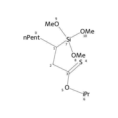 CCCCCC(CC(=S)OC(C)C)[Si](OC)(OC)OC